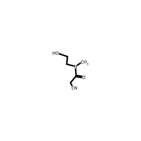 CN(CCO)C(=O)CC#N